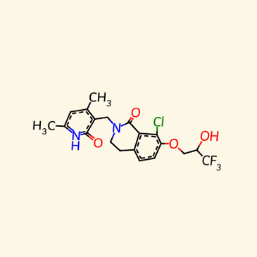 Cc1cc(C)c(CN2CCc3ccc(OCC(O)C(F)(F)F)c(Cl)c3C2=O)c(=O)[nH]1